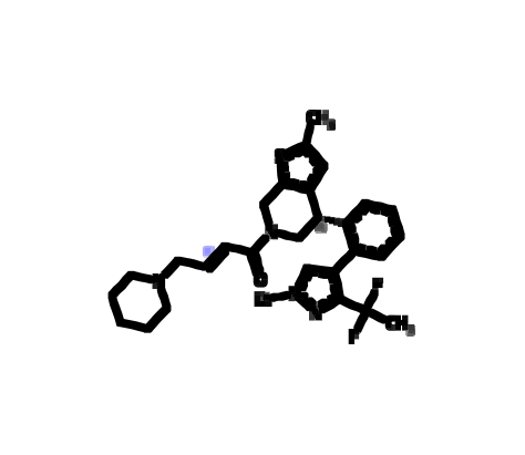 CCn1cc(-c2ccccc2[C@@H]2CN(C(=O)/C=C/CN3CCCCC3)Cc3sc(C)cc32)c(C(C)(F)F)n1